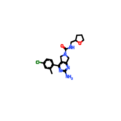 Cc1cc(Cl)ccc1-c1nc(N)nc2c1CN(C(=O)NCC1CCCO1)C2